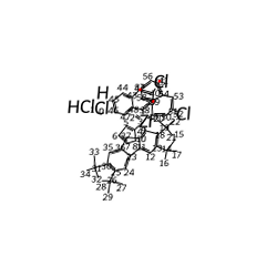 Cl.Cl.[CH2]=[Zr]([C]1=CC=CC1)([c]1c2c(cc(C(C)(C)C)c1C(C)(C)C)-c1cc(C(C)(C)C)c(C(C)(C)C)cc1C2)([c]1cc(Cl)cc2ccccc12)[c]1cc(Cl)cc2ccccc12